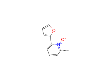 Cc1cccc(-c2ccco2)[n+]1[O-]